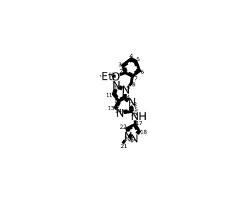 [CH2][CH]Oc1ccccc1Cn1ncc2cnc(Nc3cnn(C)c3)nc21